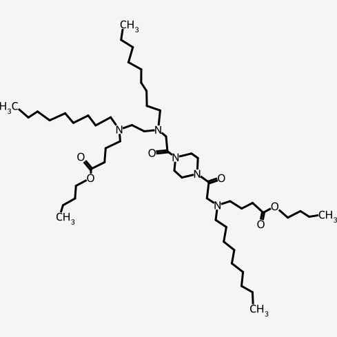 CCCCCCCCCN(CCCC(=O)OCCCC)CCN(CCCCCCCCC)CC(=O)N1CCN(C(=O)CN(CCCCCCCCC)CCCC(=O)OCCCC)CC1